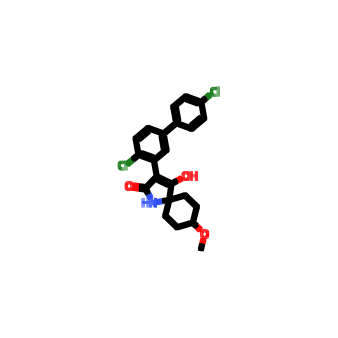 COC1CCC2(CC1)NC(=O)C(c1cc(-c3ccc(Cl)cc3)ccc1Cl)=C2O